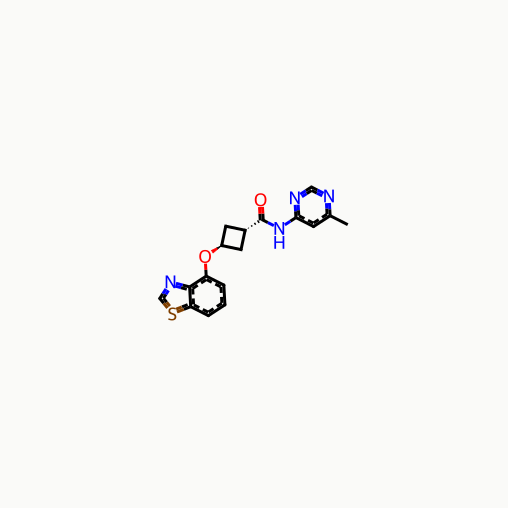 Cc1cc(NC(=O)[C@H]2C[C@H](Oc3cccc4scnc34)C2)ncn1